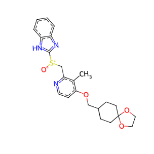 Cc1c(OCC2CCC3(CC2)OCCO3)ccnc1C[S+]([O-])c1nc2ccccc2[nH]1